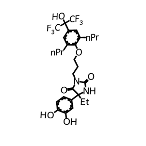 CCCc1cc(C(O)(C(F)(F)F)C(F)(F)F)cc(CCC)c1OCCCN1C(=O)NC(CC)(c2ccc(O)c(O)c2)C1=O